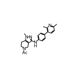 CC(=O)N1CCc2c(c(Nc3ccc(-c4ccc(C)nc4C)cc3)nn2C)C1